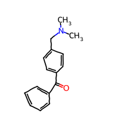 CN(C)Cc1ccc(C(=O)c2ccccc2)cc1